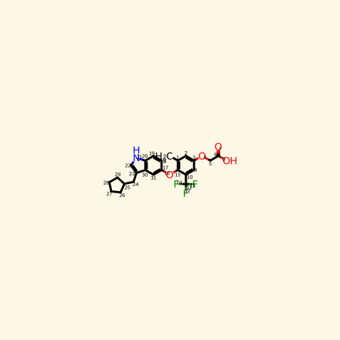 Cc1cc(OCC(=O)O)cc(C(F)(F)F)c1Oc1ccc2[nH]cc(CC3CCCC3)c2c1